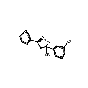 FC(F)(F)C1(c2cccc(Cl)c2)CC(c2cc[c]cc2)=NO1